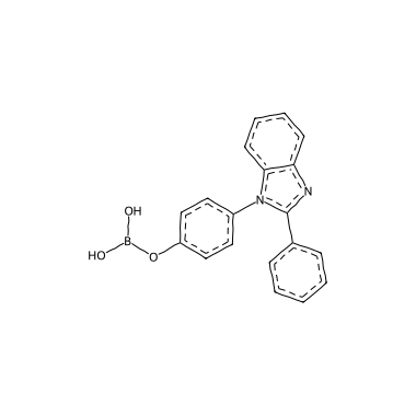 OB(O)Oc1ccc(-n2c(-c3ccccc3)nc3ccccc32)cc1